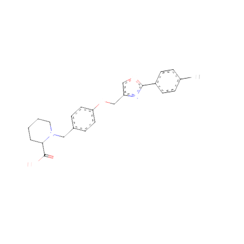 Cc1ccc(-c2nc(COc3ccc(CN4CCCCC4C(=O)O)cc3)co2)cc1